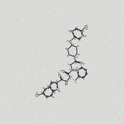 O=C(N[C@@H](Cc1ccccn1)C(=O)NCC(=O)N1CCC(Oc2cnc(Cl)cn2)CC1)c1cc2cc(Cl)ccc2o1